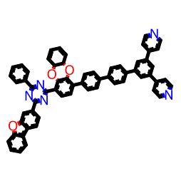 C1=CC2Oc3c(-c4ccc(-c5ccc(-c6cc(-c7ccncc7)cc(-c7ccncc7)c6)cc5)cc4)ccc(-c4nc(-c5ccccc5)nc(-c5ccc6c(c5)oc5ccccc56)n4)c3OC2C=C1